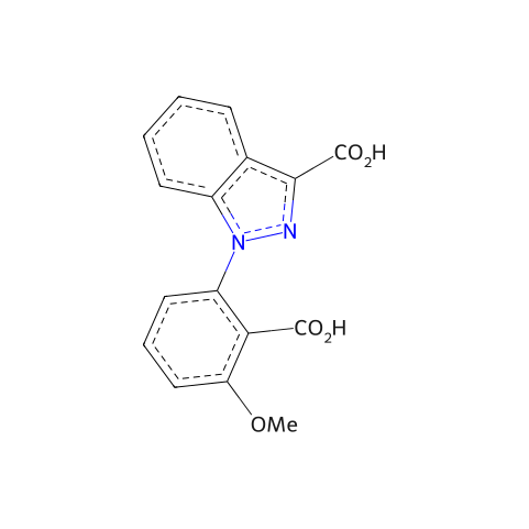 COc1cccc(-n2nc(C(=O)O)c3ccccc32)c1C(=O)O